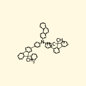 CC1(C)c2ccccc2-c2cccc(-c3ccc(N(c4ccc(-c5ccc6c(c5)C(C)(c5ccccc5)c5ccccc5-6)cc4)c4ccc5c(ccc6ccccc65)c4)cc3)c21